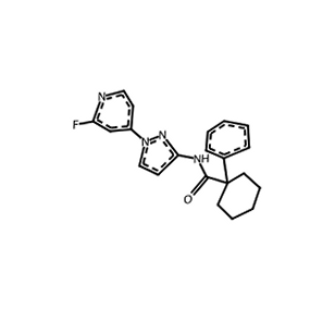 O=C(Nc1ccn(-c2ccnc(F)c2)n1)C1(c2ccccc2)CCCCC1